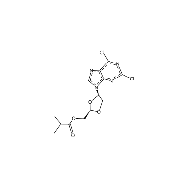 CC(C)C(=O)OC[C@@H]1OC[C@H](n2cnc3c(Cl)nc(Cl)nc32)O1